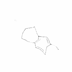 Cl.N[C@H]1Cc2ccc(Cl)cc2C1